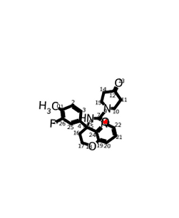 Cc1ccc([C@@]2(NC(=O)N3CCC(=O)CC3)CCOc3cccnc32)cc1F